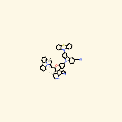 C=C/C(=C\C1=C(C)C2(c3ccc(-n4c5ccc(C#N)cc5c5cc(N6c7ccccc7Sc7ccccc76)ccc54)cc3O1)c1cccnc1-c1ncccc12)n1c2ccccc2c2ccccc21